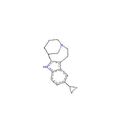 c1cc2[nH]c3c(c2cc1C1CC1)CCN1CCCC3C1